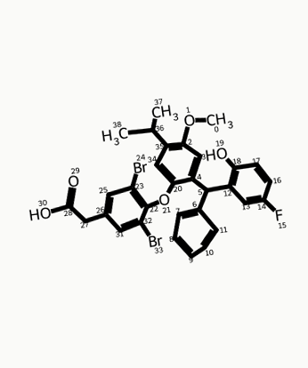 COc1cc(C(c2ccccc2)c2cc(F)ccc2O)c(Oc2c(Br)cc(CC(=O)O)cc2Br)cc1C(C)C